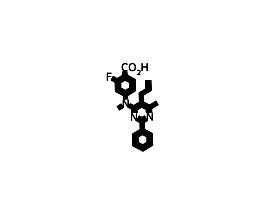 C=CCc1c(C)nc(-c2ccccc2)nc1N(C)c1ccc(C(=O)O)c(F)c1